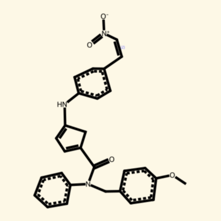 COc1ccc(CN(C(=O)C2=CC=C(Nc3ccc(/C=C\[N+](=O)[O-])cc3)C2)c2ccccc2)cc1